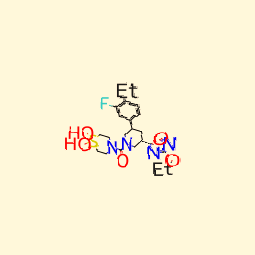 CCOc1noc(C2CC(c3ccc(CC)c(F)c3)CN(C(=O)N3CCS(O)(O)CC3)C2)n1